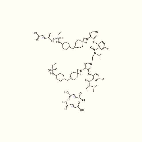 CCN(C(=O)c1cc(F)ccc1Oc1cncnc1N1CC2(CCN(CC3CCC(NS(=O)(=O)CC)CC3)CC2)C1)C(C)C.CCN(C(=O)c1cc(F)ccc1Oc1cncnc1N1CC2(CCN(CC3CCC(NS(=O)(=O)CC)CC3)CC2)C1)C(C)C.O=C(O)/C=C/C(=O)O.O=C(O)/C=C/C(=O)O.O=C(O)/C=C/C(=O)O